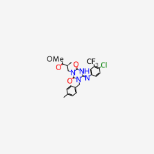 COC(=O)[C@@H](C)Cn1c(=O)[nH]/c(=N\c2ccc(Cl)c(C(F)(F)F)c2)n(Cc2ccc(C)cc2)c1=O